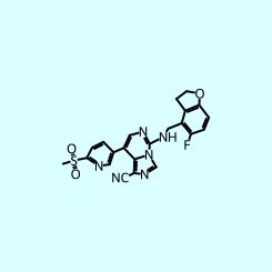 CS(=O)(=O)c1ccc(-c2cnc(NCc3c(F)ccc4c3CCO4)n3cnc(C#N)c23)cn1